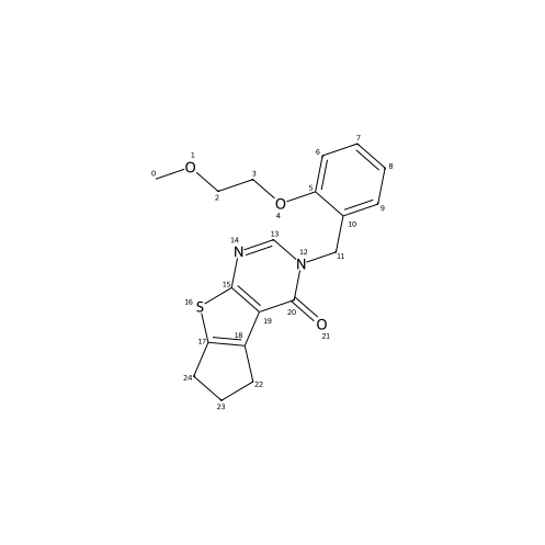 COCCOc1ccccc1Cn1cnc2sc3c(c2c1=O)CCC3